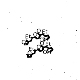 CCC(Cc1ccco1)c1cc(O)c(C(CC)c2cccs2)c(=O)o1.CCC(Cc1ccoc1)c1cc(O)c(C(CC)c2cccs2)c(=O)o1